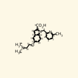 Cc1cccc(Cn2c(C(=O)O)cc3cc(OCCN(C)C)ccc32)n1